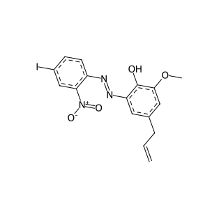 C=CCc1cc(/N=N/c2ccc(I)cc2[N+](=O)[O-])c(O)c(OC)c1